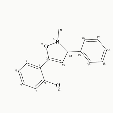 CN1OC(c2ccccc2Cl)=CC1c1ccccc1